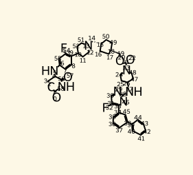 O=C1CCC(Nc2ccc(C3CCN(C[C@H]4CC[C@H](COC(=O)N5CCC(Nc6ncc(F)c(-c7cccc(-c8ccccc8)c7)n6)CC5)CC4)CC3)c(F)c2)C(=O)N1